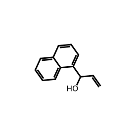 C=CC(O)c1cccc2ccccc12